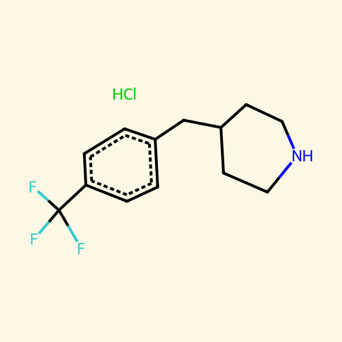 Cl.FC(F)(F)c1ccc(CC2CCNCC2)cc1